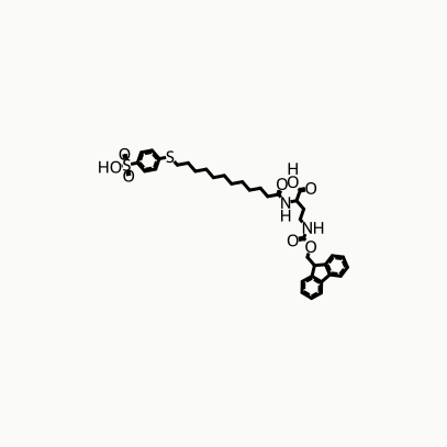 O=C(CCCCCCCCCCCSc1ccc(S(=O)(=O)O)cc1)NC(CCNC(=O)OCC1c2ccccc2-c2ccccc21)C(=O)O